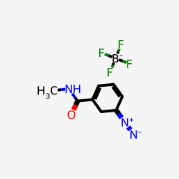 CNC(=O)C1=CC=CC(=[N+]=[N-])C1.F[B-](F)(F)F